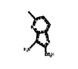 Cc1ccc2sc(C(=O)O)c(N)c2n1